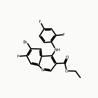 CCOC(=O)c1cnc2cc(F)c(Br)cc2c1Nc1ccc(F)cc1F